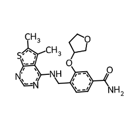 Cc1sc2ncnc(NCc3ccc(C(N)=O)cc3OC3CCOC3)c2c1C